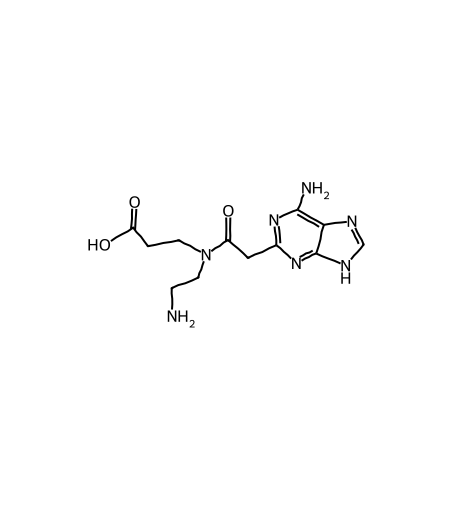 NCCN(CCC(=O)O)C(=O)Cc1nc(N)c2nc[nH]c2n1